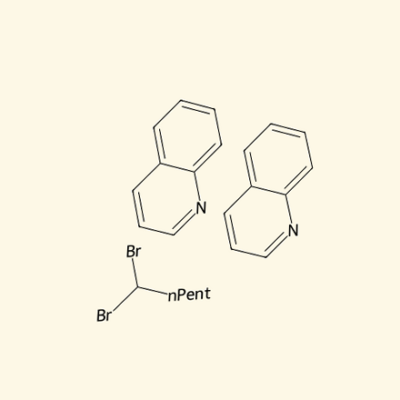 CCCCCC(Br)Br.c1ccc2ncccc2c1.c1ccc2ncccc2c1